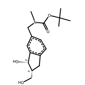 CN(Cc1ccc2c(c1)[C@@H](O)[C@@H](CO)C2)C(=O)OC(C)(C)C